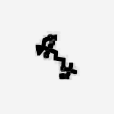 CC(C)(C)[Si](C)(C)OCCCS(=O)(=O)C1(CO)CC1